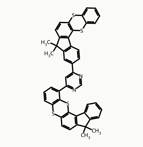 CC1(C)c2cc(-c3cc(-c4cccc5c4Sc4c(ccc6c4-c4ccccc4C6(C)C)S5)ncn3)ccc2-c2c1ccc1c2Sc2ccccc2S1